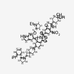 CCN1CCC[C@@H]1COc1nc2[nH]ccc2cc1Oc1cc(N2CCC3(CC2)CC(N2CCC[C@@H]2c2ccccc2C(C)C)C3)ccc1C(=O)NS(=O)(=O)c1cc2c(c([N+](=O)[O-])c1)N[C@@H](C1CCC(C)(O)CC1)CO2